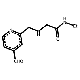 CCNC(=O)CNCc1cc(C=O)ccn1